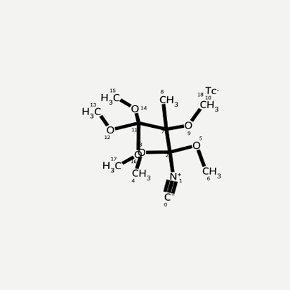 [C-]#[N+]C(OC)(OC)C(C)(OC)C(OC)(OC)OC.[Tc]